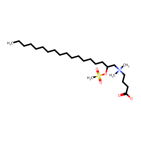 CCCCCCCCCCCCCCCCC(C[N+](C)(C)CCCC(=O)[O-])OS(C)(=O)=O